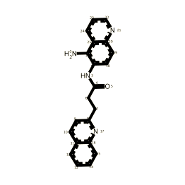 Nc1c(NC(=O)CCc2ccc3ccccc3n2)ccc2ncccc12